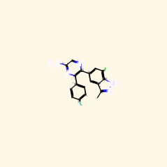 Cc1n[nH]c2c(Cl)cc(-c3ncc(N)nc3-c3ccc(F)cc3)cc12